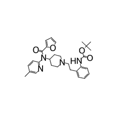 Cc1ccc(N(C(=O)c2ccco2)C2CCN(CCc3ccccc3NC(=O)OC(C)(C)C)CC2)nc1